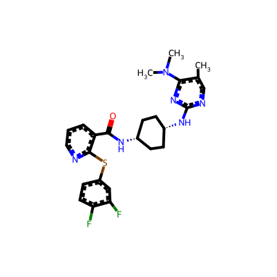 Cc1cnc(N[C@H]2CC[C@@H](NC(=O)c3cccnc3Sc3ccc(F)c(F)c3)CC2)nc1N(C)C